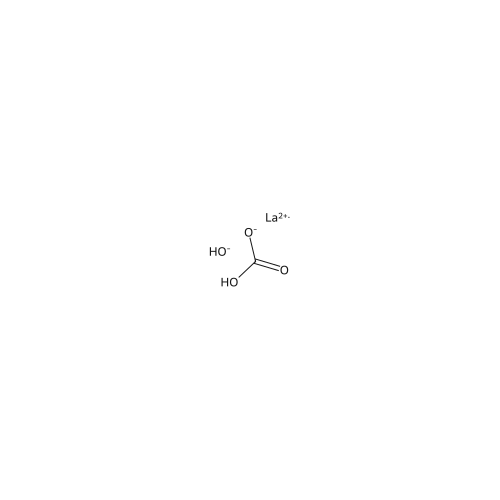 O=C([O-])O.[La+2].[OH-]